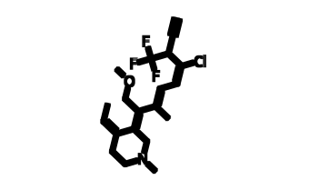 C#CC(\C(Cl)=C/C=C(C)/C(COC)=C1\CN(C)CC\C1=C\C)C(F)(F)F